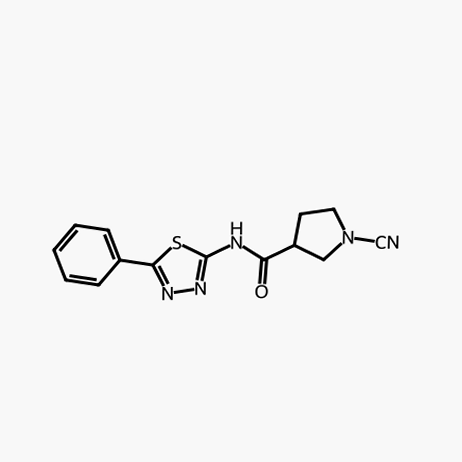 N#CN1CCC(C(=O)Nc2nnc(-c3ccccc3)s2)C1